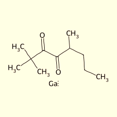 CCCC(C)C(=O)C(=O)C(C)(C)C.[Ga]